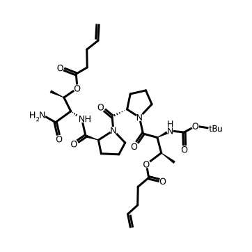 C=CCCC(=O)O[C@H](C)[C@H](NC(=O)[C@@H]1CCCN1C(=O)[C@@H]1CCCN1C(=O)[C@@H](NC(=O)OC(C)(C)C)[C@@H](C)OC(=O)CCC=C)C(N)=O